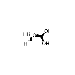 I.O=C(O)O.[LiH].[LiH]